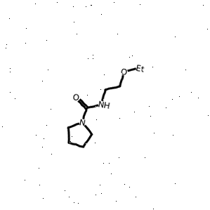 CCOCCNC(=O)N1CCCC1